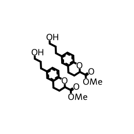 COC(=O)C1CCc2cc(CCCO)ccc2O1.COC(=O)C1CCc2cc(CCCO)ccc2O1